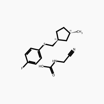 C[C@H]1CC[C@H](CSc2ccc(F)cc2)C1.N#CCNC(=O)O